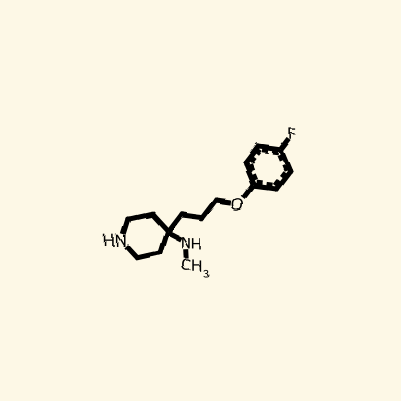 CNC1(CCCOc2ccc(F)cc2)CCNCC1